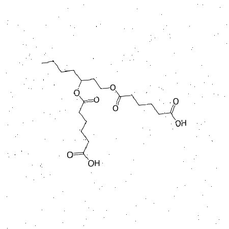 CCCCC(CCOC(=O)CCCCC(=O)O)OC(=O)CCCCC(=O)O